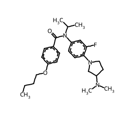 CCCCOc1ccc(C(=O)N(c2ccc(N3CCC(N(C)C)C3)c(F)c2)C(C)C)cc1